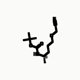 C[C@@H](CCCOCC#N)NC(=O)OC(C)(C)C